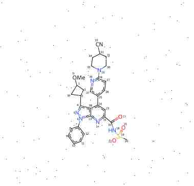 COC1CC(c2nn(-c3ccccc3)c3nc(C(=O)NS(C)(=O)=O)cc(-c4ccc(N5CCC(C#N)CC5)nc4)c23)C1